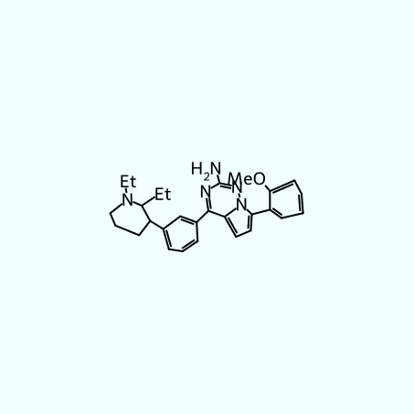 CCC1C(c2cccc(-c3nc(N)nn4c(-c5ccccc5OC)ccc34)c2)CCCN1CC